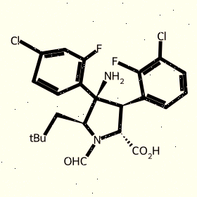 CC(C)(C)C[C@@H]1N(C=O)[C@@H](C(=O)O)[C@H](c2cccc(Cl)c2F)[C@@]1(N)c1ccc(Cl)cc1F